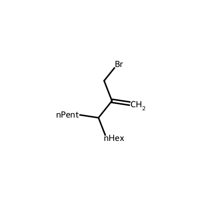 C=C(CBr)C(CCCCC)CCCCCC